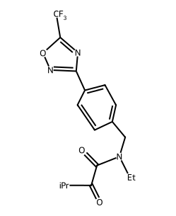 CCN(Cc1ccc(-c2noc(C(F)(F)F)n2)cc1)C(=O)C(=O)C(C)C